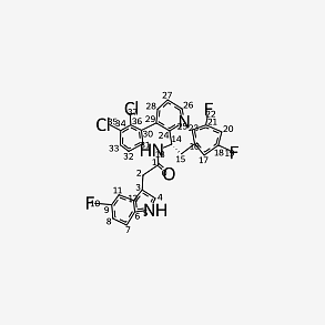 O=C(Cc1c[nH]c2ccc(F)cc12)N[C@@H](Cc1cc(F)cc(F)c1)c1ncccc1-c1cccc(Cl)c1Cl